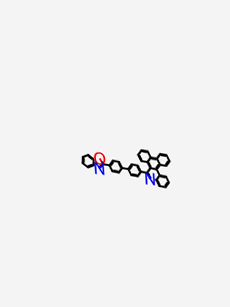 c1ccc2oc(-c3ccc(-c4ccc(-c5nc6ccccc6c6c7ccccc7c7ccccc7c56)cc4)cc3)nc2c1